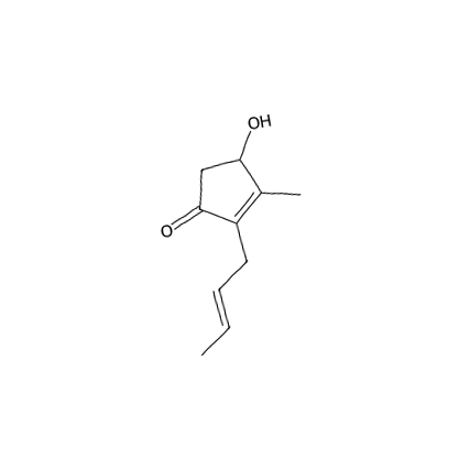 CC=CCC1=C(C)C(O)CC1=O